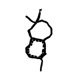 Cc1ccc2c(c1)CCC(C)(F)C2